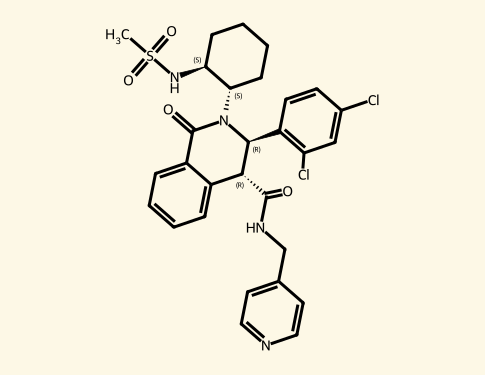 CS(=O)(=O)N[C@H]1CCCC[C@@H]1N1C(=O)c2ccccc2[C@@H](C(=O)NCc2ccncc2)[C@@H]1c1ccc(Cl)cc1Cl